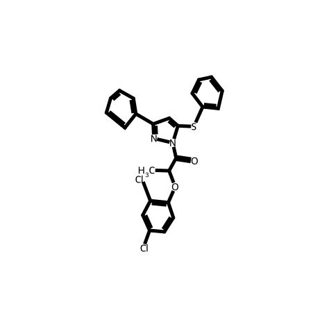 CC(Oc1ccc(Cl)cc1Cl)C(=O)n1nc(-c2ccccc2)cc1Sc1ccccc1